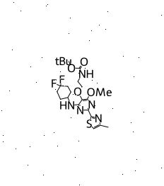 COc1nc(-c2nc(C)cs2)nc(NC2CCC(F)(F)CC2)c1OCCNC(=O)OC(C)(C)C